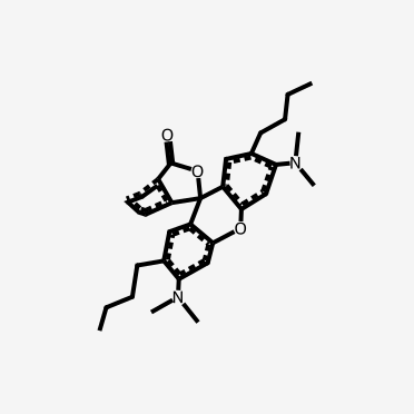 CCCCc1cc2c(cc1N(C)C)Oc1cc(N(C)C)c(CCCC)cc1C21OC(=O)c2ccccc21